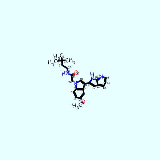 COc1ccc2c(c1)c(-c1cc3cccnc3[nH]1)cn2CC(=O)NCCC(C)(C)C